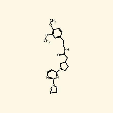 COc1ccc(CCNC(=O)CC2CCN(c3ccnc(-n4ccnc4)n3)C2)cc1OC